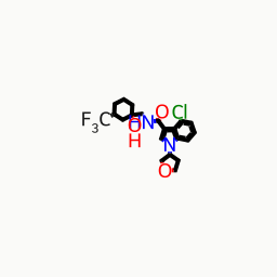 O=C(NCC1(O)CCCC(C(F)(F)F)C1)c1cn(C2CCOC2)c2cccc(Cl)c12